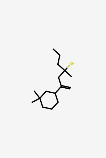 C=C(CC(C)(S)CCC)C1CCCC(C)(C)C1